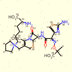 CC(C)(O/N=C(\C(=O)N[C@@H]1C(=O)N2C(C(=O)[O-])=C(C[N+]3(CCCC[C@H](N)C(=O)O)CCCC3)CSC12)c1csc(N)n1)C(=O)O